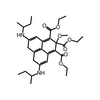 CCOC(=O)C1=C2C=C(NC(C)CC)CC3=C2C(=C(C(=O)OCC)C1(OC)C(=O)OCC)C=C(NC(C)CC)C3